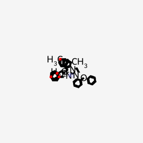 Cc1cc(C)c(N2CCN(c3ccccc3Oc3ccccc3)/C2=[N]/[Zr]([CH2]c2ccccc2)([CH2]c2ccccc2)[CH2]c2ccccc2)c(C)c1